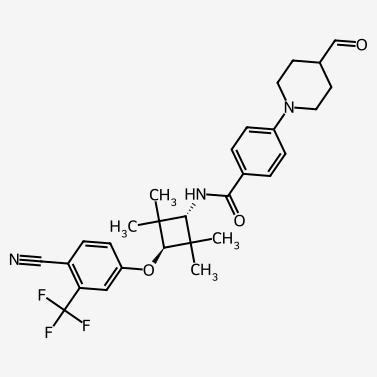 CC1(C)[C@H](NC(=O)c2ccc(N3CCC(C=O)CC3)cc2)C(C)(C)[C@H]1Oc1ccc(C#N)c(C(F)(F)F)c1